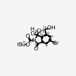 CC(C)(C)OC(=O)N1C(=O)c2cc(Br)cc(CO)c2C1(C)C